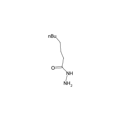 CCCCCCCC(=O)NN